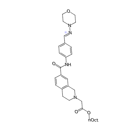 CCCCCCCCOC(=O)CN1CCc2ccc(C(=O)Nc3ccc(/C=N/N4CCOCC4)cc3)cc2C1